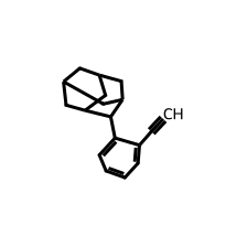 C#Cc1ccccc1C1C2CC3CC(C2)CC1C3